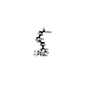 COC(=O)c1coc(C(CO)NC(=O)c2coc(C(CO[Si](C)(C)C(C)(C)C)NC(=O)OC(C)(C)C)n2)n1